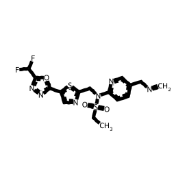 C=NCc1ccc(N(Cc2ncc(-c3nnc(C(F)F)o3)s2)S(=O)(=O)CC)nc1